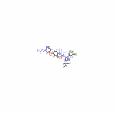 C=CC(C)(C)c1cc(NC(=O)Nc2ccc(Oc3ccnc(N)c3)cc2F)n(-c2cccc(F)c2)n1